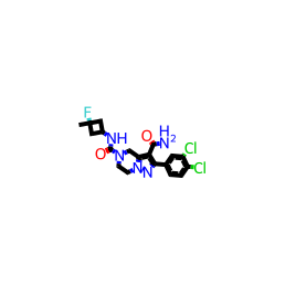 CC1(F)CC(NC(=O)N2CCn3nc(-c4ccc(Cl)c(Cl)c4)c(C(N)=O)c3C2)C1